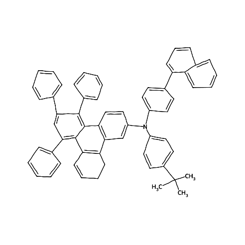 CC(C)(C)c1ccc(N(c2ccc(-c3cccc4ccccc34)cc2)c2ccc3c(c2)c2c(c4c(-c5ccccc5)cc(-c5ccccc5)c(-c5ccccc5)c43)C=CCC2)cc1